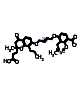 CCCc1c(OC/C=C/COc2ccc3c(c2CCC)OC(C)(CCC(=O)O)CC3=O)ccc(C(C)=O)c1OC